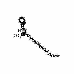 COCCOCCOCCOCCOCCOCCOCCNC(=O)[C@H](CC(=O)O)NC(=O)OC[C@@H]1[C@@H]2CCC#CCC[C@@H]21